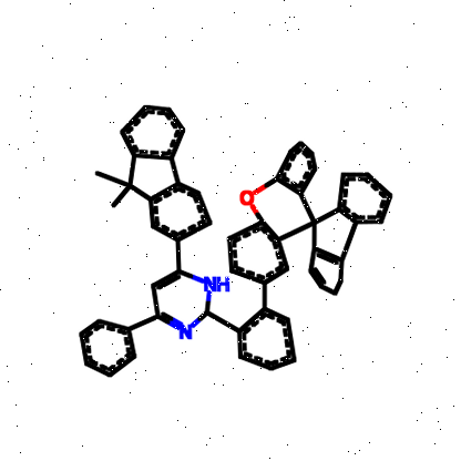 CC1(C)c2ccccc2-c2ccc(C3=CC(c4ccccc4)=NC(c4ccccc4-c4ccc5c(c4)C4(C6=C(CCC=C6)c6ccccc64)c4ccccc4O5)N3)cc21